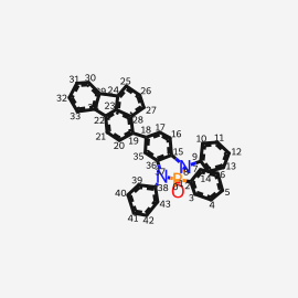 O=P1(c2ccccc2)N(c2ccccc2)c2ccc(-c3ccc4c5c(cccc35)-c3ccccc3-4)cc2N1c1ccccc1